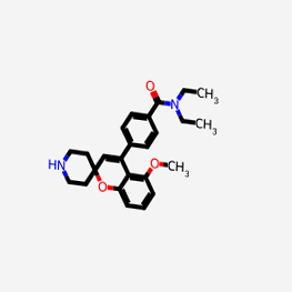 CCN(CC)C(=O)c1ccc(C2=CC3(CCNCC3)Oc3cccc(OC)c32)cc1